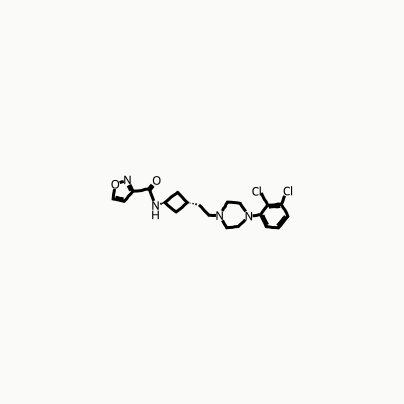 O=C(N[C@H]1C[C@@H](CCN2CCN(c3cccc(Cl)c3Cl)CC2)C1)c1ccon1